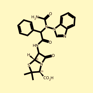 CC1(C)S[C@@H]2C(NC(=O)C(C3=CCC=CC3)N(C(N)=O)n3cnc4ccccc43)C(=O)N2[C@H]1C(=O)O